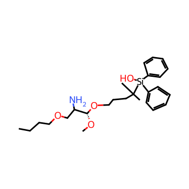 CCCCOCC(N)[C@@H](OC)OCCCC(C)(C)[Si](O)(c1ccccc1)c1ccccc1